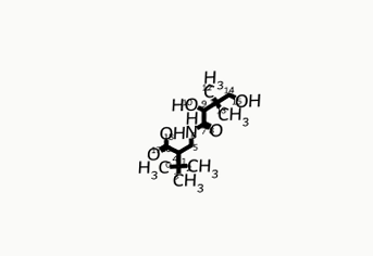 CC(C)(C)C(CNC(=O)C(O)C(C)(C)CO)C(=O)O